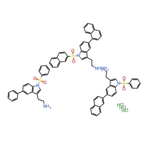 Cl.Cl.Cl.NCCc1cn(S(=O)(=O)c2ccc3ccccc3c2)c2ccc(-c3cccc4ccccc34)cc12.NCCc1cn(S(=O)(=O)c2ccccc2)c2ccc(-c3ccc4ccccc4c3)cc12.NCCc1cn(S(=O)(=O)c2ccccc2)c2ccc(-c3ccccc3)cc12